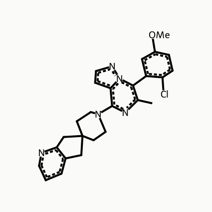 COc1ccc(Cl)c(-c2c(C)nc(N3CCC4(CC3)Cc3cccnc3C4)c3ccnn23)c1